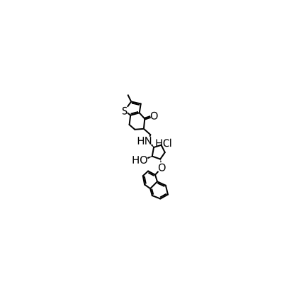 Cc1cc2c(s1)CCC(CN[C@H]1CC[C@H](Oc3cccc4ccccc34)[C@H]1O)C2=O.Cl